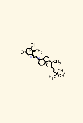 C=C1/C(=C\C=C2/CCC[C@@]3(C)C2CC[C@@H]3[C@H](C)CCCC(C)(C)O)C[C@@H](O)C[C@H]1O